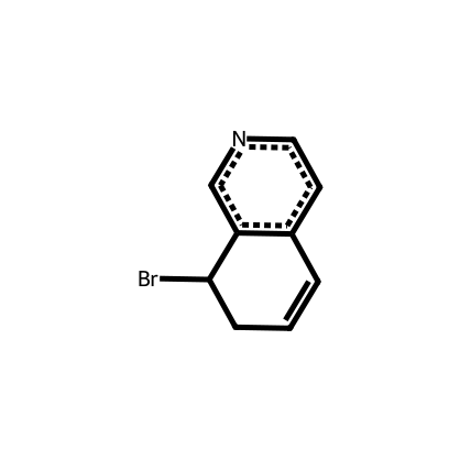 BrC1CC=Cc2ccncc21